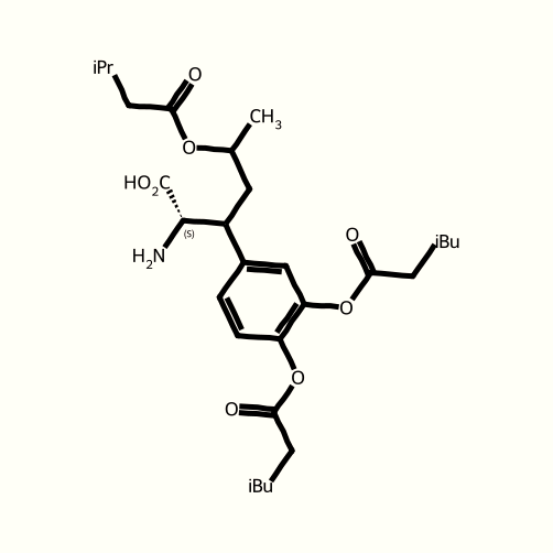 CCC(C)CC(=O)Oc1ccc(C(CC(C)OC(=O)CC(C)C)[C@H](N)C(=O)O)cc1OC(=O)CC(C)CC